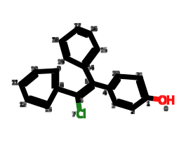 Oc1ccc(C(=C(Cl)c2ccccc2)c2ccccc2)cc1